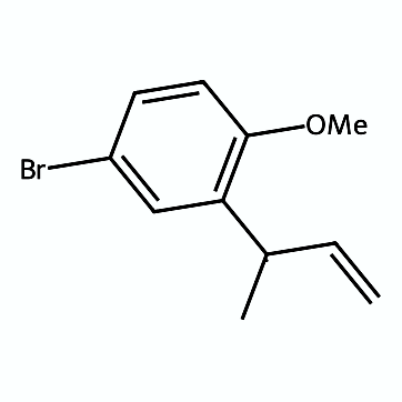 C=C[C](C)c1cc(Br)ccc1OC